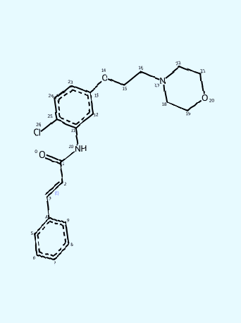 O=C(/C=C/c1ccccc1)Nc1cc(OCCN2CCOCC2)ccc1Cl